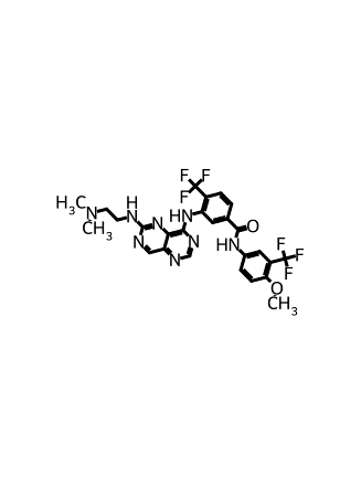 COc1ccc(NC(=O)c2ccc(C(F)(F)F)c(Nc3ncnc4cnc(NCCN(C)C)nc34)c2)cc1C(F)(F)F